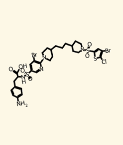 Nc1ccc(CC(NS(=O)(=O)c2cnc(N3CCC(CCCC4CCN(S(=O)(=O)c5cc(Br)c(Cl)s5)CC4)CC3)c(Br)c2)C(=O)O)cc1